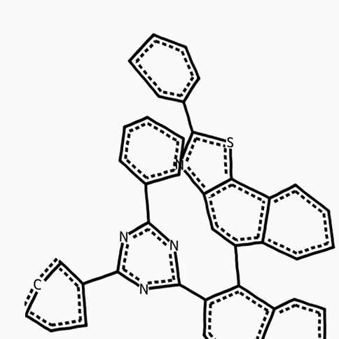 c1ccc(-c2nc(-c3ccccc3)nc(-c3ccc4ccccc4c3-c3cc4nc(-c5ccccc5)sc4c4ccccc34)n2)cc1